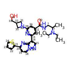 CCN(CC)C(C)CNC(=O)c1cc(-c2cnn3ccc(-c4cccs4)nc23)nc(N2CC(CO)C2)c1